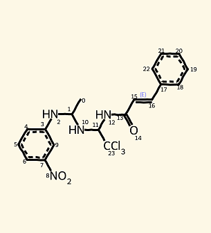 CC(Nc1cccc([N+](=O)[O-])c1)NC(NC(=O)/C=C/c1ccccc1)C(Cl)(Cl)Cl